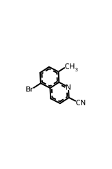 Cc1ccc(Br)c2ccc(C#N)nc12